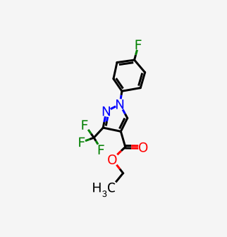 CCOC(=O)c1cn(-c2ccc(F)cc2)nc1C(F)(F)F